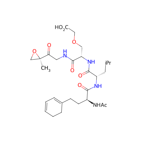 CC(=O)N[C@@H](CCC1=CC=CCC1)C(=O)N[C@@H](CC(C)C)C(=O)N[C@@H](COCC(=O)O)C(=O)NCC(=O)[C@@]1(C)CO1